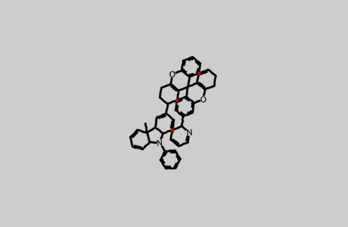 CC12C=CC=CC1N(c1ccccc1)C1C=CC(C3CCC4=C(C3)C3(C5=C(CCC=C5)Oc5cc(C6CC=CC=N6)ccc53)c3ccccc3O4)=CC12